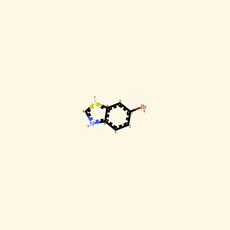 Brc1ccc2ncsc2c1